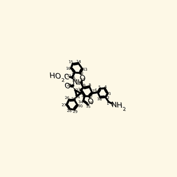 NCc1cccc(-c2cc(COc3ccccc3C(NC(=O)[C@@H]3C[C@H]3c3ccccc3)C(=O)O)cc3ccoc23)c1